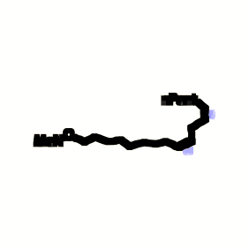 CCCCC/C=C\C/C=C\CCCCCCCCONC